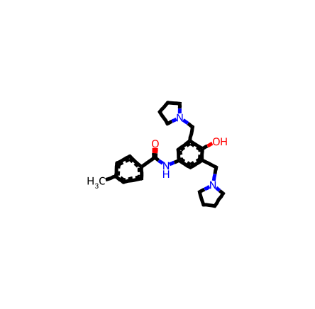 Cc1ccc(C(=O)Nc2cc(CN3CCCC3)c(O)c(CN3CCCC3)c2)cc1